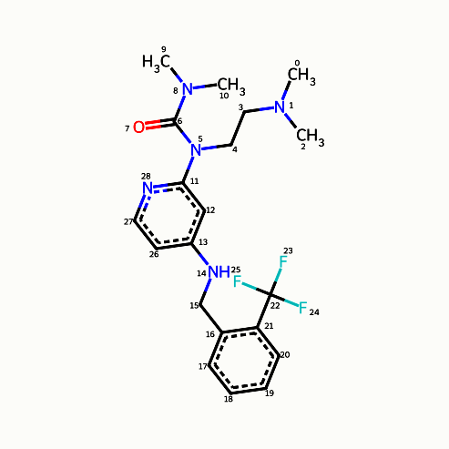 CN(C)CCN(C(=O)N(C)C)c1cc(NCc2ccccc2C(F)(F)F)ccn1